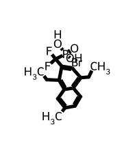 CCc1c(Br)c(C(F)(F)P(=O)(O)O)c(CC)c2cc(C)ccc12